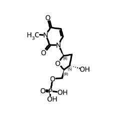 Cn1c(=O)ccn([C@H]2C[C@H](O)[C@@H](COP(=O)(O)O)O2)c1=O